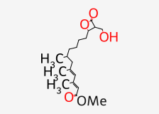 COC(=O)/C=C(C)/C=C(\C)CC(C)CCCCC1OC(=O)C1CO